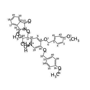 COc1ccc(COc2cc(C(ON3C(=O)c4ccccc4C3=O)C(C)C)[n+](O)cc2OCc2ccc(OC)cc2)cc1